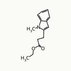 CCOC(=O)CCc1cc2ccccc2n1C